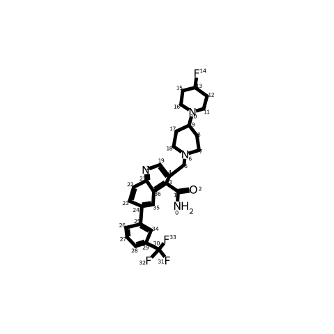 NC(=O)c1c(CN2CCC(N3CCC(F)CC3)CC2)cnc2ccc(-c3cccc(C(F)(F)F)c3)cc12